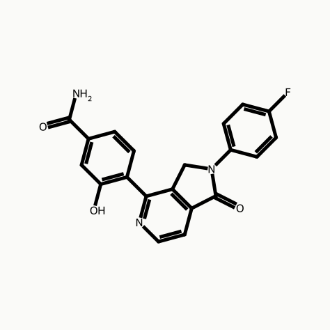 NC(=O)c1ccc(-c2nccc3c2CN(c2ccc(F)cc2)C3=O)c(O)c1